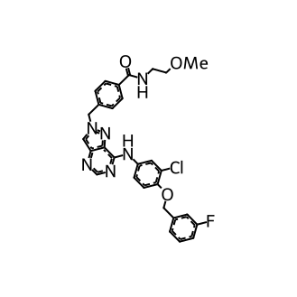 COCCNC(=O)c1ccc(Cn2cc3ncnc(Nc4ccc(OCc5cccc(F)c5)c(Cl)c4)c3n2)cc1